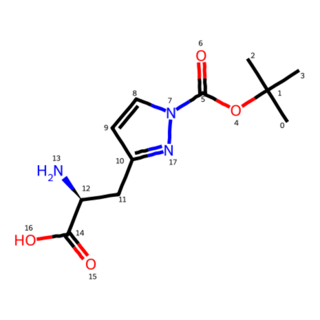 CC(C)(C)OC(=O)n1ccc(C[C@H](N)C(=O)O)n1